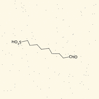 O=CCCCCCCCCS(=O)(=O)O